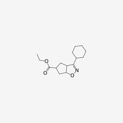 CCOC(=O)C1CC2ON=C(C3CCCCC3)C2C1